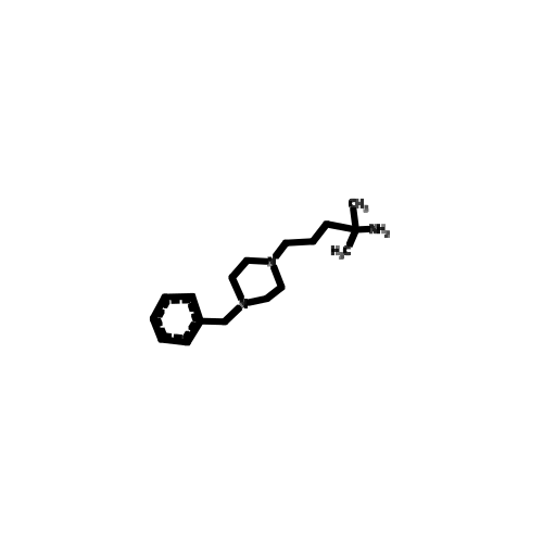 CC(C)(N)CCCN1CCN(Cc2ccccc2)CC1